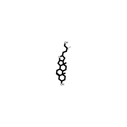 C[C@@H](CO)CCC1CC2C(CC3C4CC=C5CC(O)CCC5(C)C4CCC23C)O1